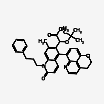 Cc1cc2c(ccc(=O)n2CCCc2ccccc2)c(-c2ccc3c4c(ccnc24)CCO3)c1C(OC(C)(C)C)C(=O)O